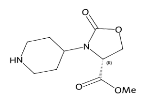 COC(=O)[C@H]1COC(=O)N1C1CCNCC1